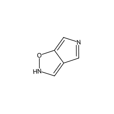 c1ncc2o[nH]cc1-2